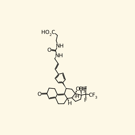 C[C@]12C[C@H](c3ccc(C=CCNC(=O)NCCC(=O)O)cc3)C3=C4CCC(=O)C=C4CC[C@H]3[C@@H]1CC[C@@]2(O)C(F)(F)C(F)(F)F